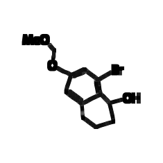 COCOc1cc(Br)c2c(c1)CCCC2O